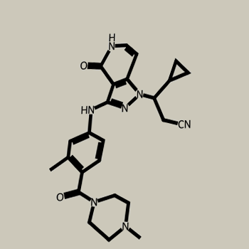 Cc1cc(Nc2nn(C(CC#N)C3CC3)c3cc[nH]c(=O)c23)ccc1C(=O)N1CCN(C)CC1